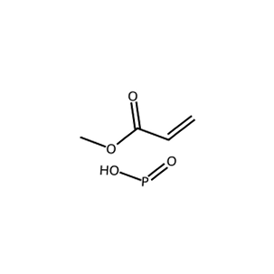 C=CC(=O)OC.O=PO